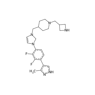 Cc1n[nH]cc1-c1ccc(N2C=CN(CC3CCN(CC4CNC4)CC3)C2)c(F)c1F